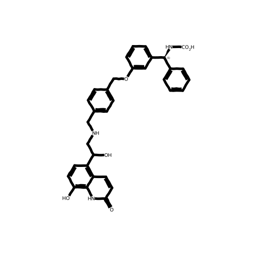 O=C(O)N[C@@H](c1ccccc1)c1cccc(OCc2ccc(CNCC(O)c3ccc(O)c4[nH]c(=O)ccc34)cc2)c1